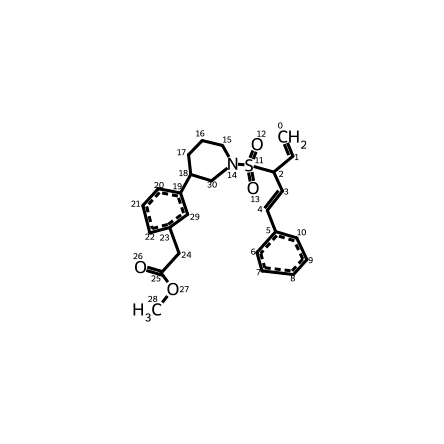 C=CC(C=Cc1ccccc1)S(=O)(=O)N1CCCC(c2cccc(CC(=O)OC)c2)C1